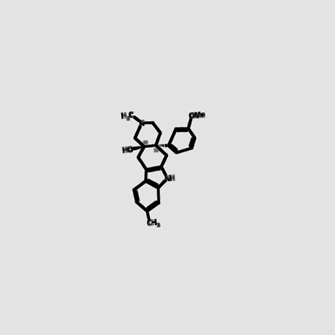 COc1cccc([C@@]23CCN(C)C[C@@]2(O)Cc2c([nH]c4cc(C)ccc24)C3)c1